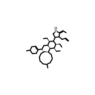 C=CCC1/C(=C\C)PCC1C1[C@H](CC)C(C[C@H](C)C2=CCC(C)CC2)[C@H]([C@@H]2CCCCCC(C)CCC2)[C@H](CC)[C@@H]1CC